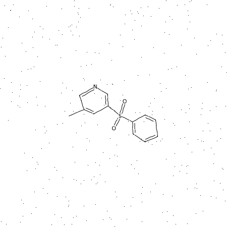 Cc1cncc(S(=O)(=O)c2ccccc2)c1